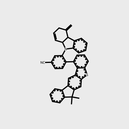 C=C1CC=CC2C1c1ccccc1N2c1cc(C#N)ccc1-c1cccc2sc3cc4c(cc3c12)-c1ccccc1C4(C)C